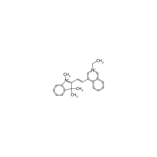 CC[n+]1cc(/C=C/C2=[N+](C)c3ccccc3C2(C)C)c2ccccc2c1